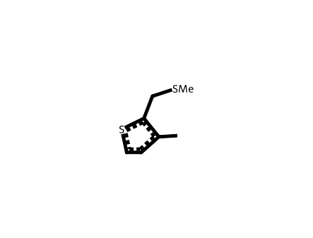 CSCc1sccc1C